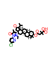 CCn1c([C@@]23CC[C@]4(C)[C@H](CC[C@@H]5[C@@]6(C)CC[C@H](OC(=O)CC(C)(C)C(=O)O)C(C)(C)[C@@H]6CC[C@]54C)C2=C(C(C)C)C(=O)C3)c(C)c(=O)n1-c1ccc(Cl)cn1